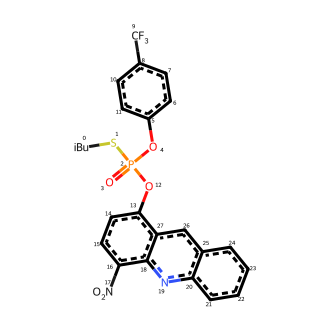 CCC(C)SP(=O)(Oc1ccc(C(F)(F)F)cc1)Oc1ccc([N+](=O)[O-])c2nc3ccccc3cc12